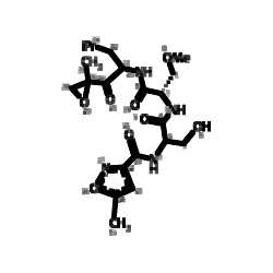 COC[C@H](NC(=O)C(CO)NC(=O)c1cc(C)on1)C(=O)NC(CC(C)C)C(=O)C1(C)CO1